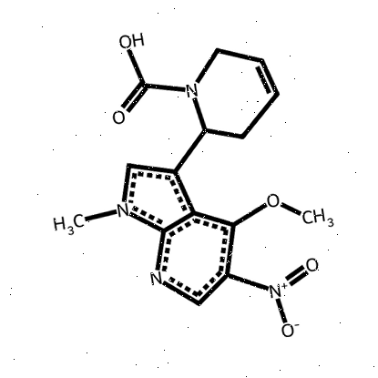 COc1c([N+](=O)[O-])cnc2c1c(C1CC=CCN1C(=O)O)cn2C